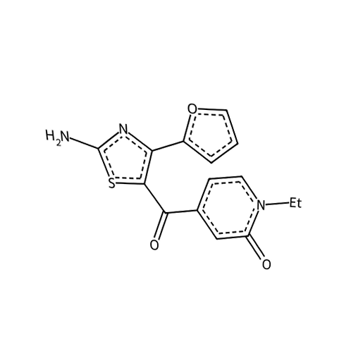 CCn1ccc(C(=O)c2sc(N)nc2-c2ccco2)cc1=O